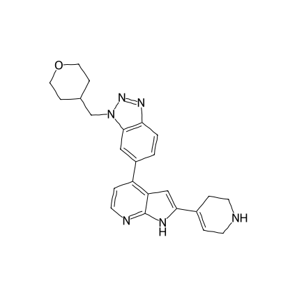 C1=C(c2cc3c(-c4ccc5nnn(CC6CCOCC6)c5c4)ccnc3[nH]2)CCNC1